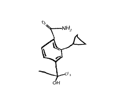 CC(O)(c1ccc(C(N)=O)c(C2CC2)c1)C(F)(F)F